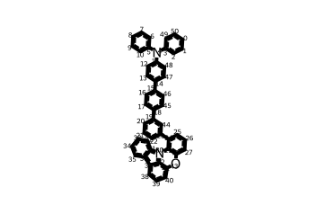 c1ccc(N(c2ccccc2)c2ccc(-c3ccc(-c4cccc(-c5cccc6c5-n5c7ccccc7c7cccc(c75)O6)c4)cc3)cc2)cc1